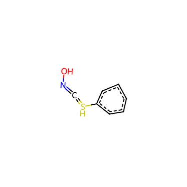 ON=C=[SH]c1ccccc1